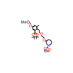 COCOc1cc(C)c(CCOCCO[C@@H]2CCCCN(C(=O)OC(C)(C)C)C2)c(B2OC(C)(C)C(C)(C)O2)c1